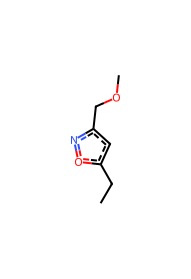 CCc1cc(COC)no1